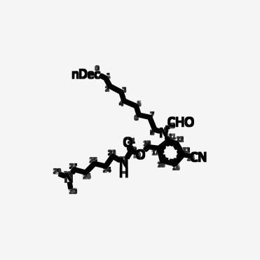 CCCCCCCCCCCCCCCCCCN(C=O)c1cc(C#N)ccc1COC(=O)NCCCCCN(C)C